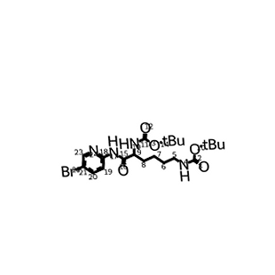 CC(C)(C)OC(=O)NCCCCC(NC(=O)OC(C)(C)C)C(=O)Nc1ccc(Br)cn1